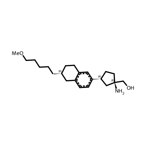 COCCCCC[C@@H]1CCc2cc([C@@H]3CC[C@](N)(CO)C3)ccc2C1